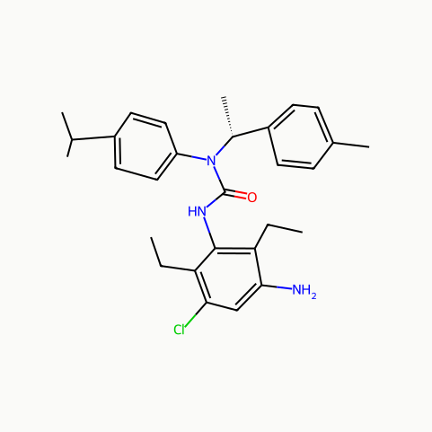 CCc1c(N)cc(Cl)c(CC)c1NC(=O)N(c1ccc(C(C)C)cc1)[C@H](C)c1ccc(C)cc1